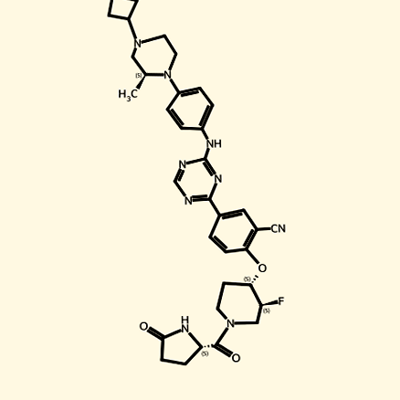 C[C@H]1CN(C2COC2)CCN1c1ccc(Nc2ncnc(-c3ccc(O[C@H]4CCN(C(=O)[C@@H]5CCC(=O)N5)C[C@@H]4F)c(C#N)c3)n2)cc1